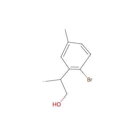 [CH2]C(CO)c1cc(C)ccc1Br